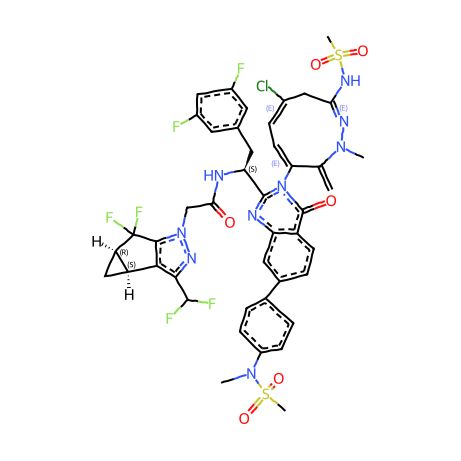 C=C1/C(n2c([C@H](Cc3cc(F)cc(F)c3)NC(=O)Cn3nc(C(F)F)c4c3C(F)(F)[C@@H]3C[C@H]43)nc3cc(-c4ccc(N(C)S(C)(=O)=O)cc4)ccc3c2=O)=C\C=C(\Cl)C/C(NS(C)(=O)=O)=N\N1C